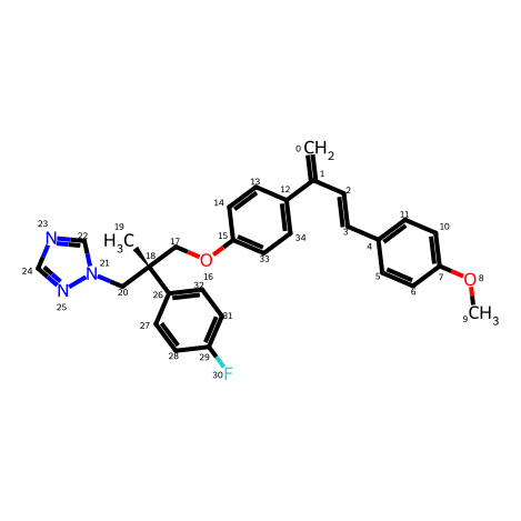 C=C(/C=C/c1ccc(OC)cc1)c1ccc(OC[C@@](C)(Cn2cncn2)c2ccc(F)cc2)cc1